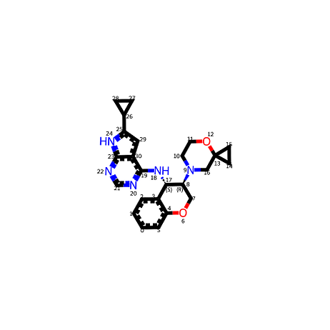 c1ccc2c(c1)OC[C@H](N1CCOC3(CC3)C1)[C@H]2Nc1ncnc2[nH]c(C3CC3)cc12